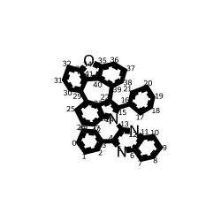 c1ccc(-c2nc3ccccc3nc2-n2c(-c3ccccc3)c3c4c(cccc42)-c2cccc4oc5cccc-3c5c24)cc1